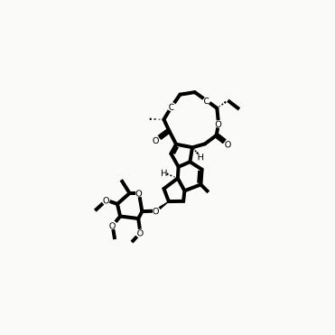 CC[C@H]1CCCC[C@@H](C)C(=O)C2=CC3C(C=C(C)C4C[C@@H](OC5OC(C)C(OC)C(OC)C5OC)C[C@H]43)[C@@H]2CC(=O)O1